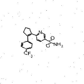 NS(=O)(=O)c1ccc(C2=C(c3ccc(C(F)(F)F)cc3)CCC2)nc1